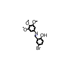 COc1cc(/N=C/c2cc(Br)ccc2O)cc(OC)c1OC